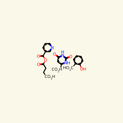 O=C(O)CCC(=O)OC(=O)c1cccnc1.O=C(O)c1cc(=O)[nH]c(=O)[nH]1.O=C(O)c1ccccc1O